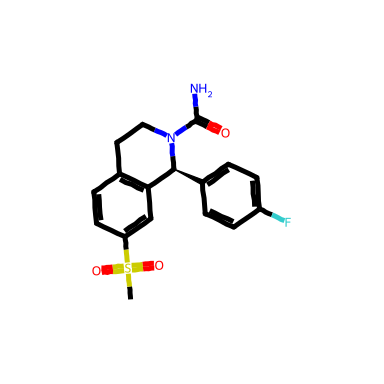 CS(=O)(=O)c1ccc2c(c1)[C@H](c1ccc(F)cc1)N(C(N)=O)CC2